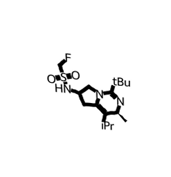 CC(C)C1=C2CC(NS(=O)(=O)CF)CN2C(C(C)(C)C)=N[C@H]1C